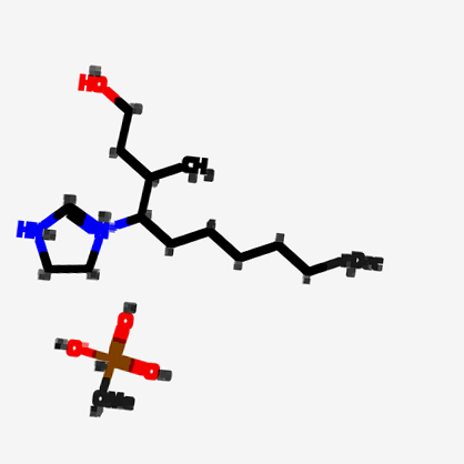 CCCCCCCCCCCCCCCC(C(C)CCO)[N+]1=CNCC1.COS(=O)(=O)[O-]